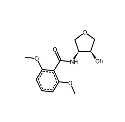 COc1cccc(OC)c1C(=O)N[C@H]1COC[C@H]1O